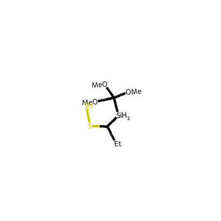 CCC([SiH2]C(OC)(OC)OC)SS